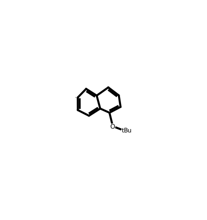 CC(C)(C)Oc1cccc2c[c]ccc12